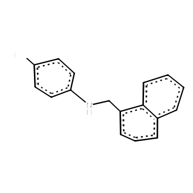 [CH2]c1ccc(NCc2cccc3ccccc23)cc1